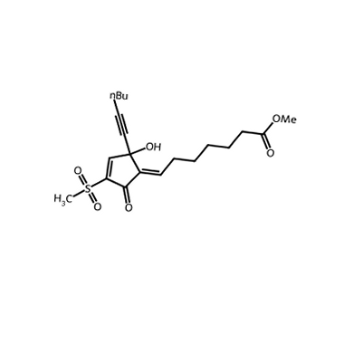 CCCCC#CC1(O)C=C(S(C)(=O)=O)C(=O)C1=CCCCCCC(=O)OC